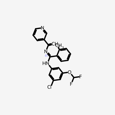 C=C(/N=C(/Nc1cc(Cl)cc(OC(F)F)c1)c1ccccc1C)c1cccnc1